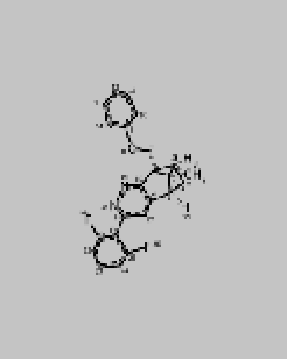 CC1(C)[C@H]2CC[C@]1(COc1ccccn1)c1nnc(-c3c(F)cccc3F)cc12